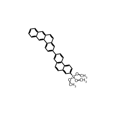 CO[Si](OC)(OC)c1ccc2c(ccc3cc(-c4ccc5c(ccc6cc7ccccc7cc65)c4)ccc32)c1